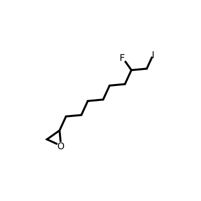 FC(CI)CCCCCCC1CO1